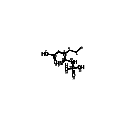 CCCN(CC(=O)O)C(=N)NP(=O)(O)O